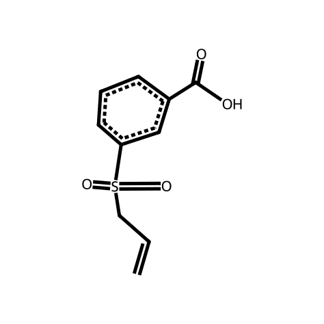 C=CCS(=O)(=O)c1cccc(C(=O)O)c1